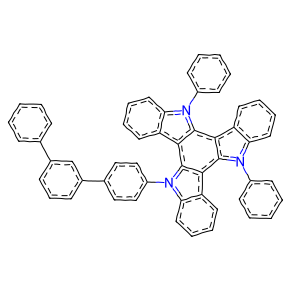 c1ccc(-c2cccc(-c3ccc(-n4c5ccccc5c5c6c(c7ccccc7n6-c6ccccc6)c6c(c7ccccc7n6-c6ccccc6)c54)cc3)c2)cc1